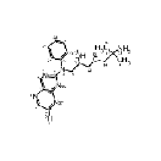 [2H]c1cnc2cnc(N(CC(O)COCC(C)(C)N)c3ccccc3)nc2n1